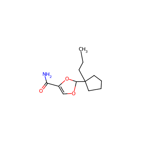 CCCC1(C2OC=C(C(N)=O)O2)CCCC1